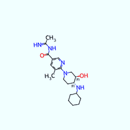 CC(=N)NC(=O)c1cnc(N2CC[C@@H](NC3CCCCC3)[C@H](O)C2)c(C)c1